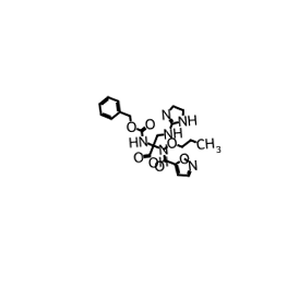 CCCON(C(=O)c1ccno1)C(CNC1=NCCN1)(NC(=O)OCc1ccccc1)C(=O)O